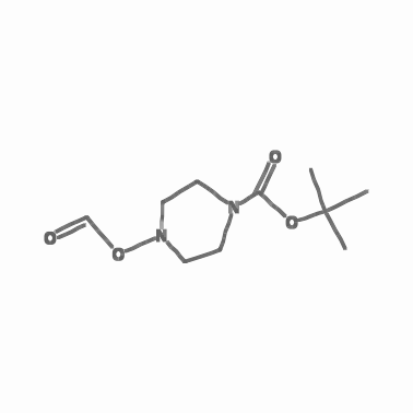 CC(C)(C)OC(=O)N1CCN(OC=O)CC1